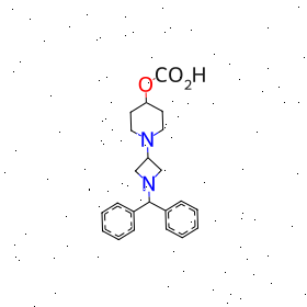 O=C(O)OC1CCN(C2CN(C(c3ccccc3)c3ccccc3)C2)CC1